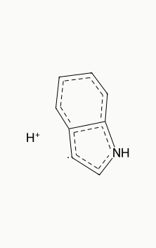 [H+].[c]1c[nH]c2ccccc12